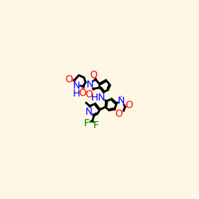 Cc1cc(-c2cc3c(cc2Nc2cccc4c2C(=O)N([C@H]2CCC(=O)NC2=O)C4=O)N(C)C(=O)CO3)cc(C(F)F)n1